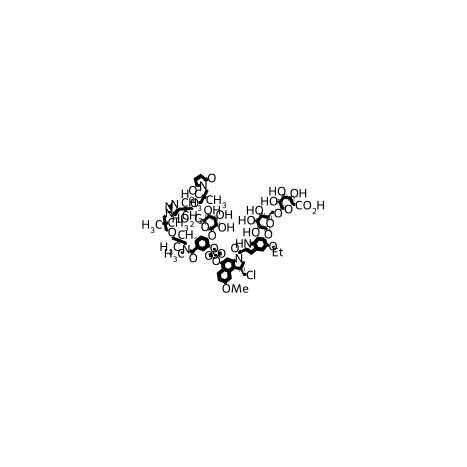 CCOc1cc2cc(C(=O)N3C[C@@H](CCl)c4c3cc(OS(=O)(=O)Oc3cc(C(=O)N(C)CC(C)(C)COCC(C)(C)Cn5cc(C(C)(C)COCC(C)(C)CN6C(=O)C=CC6=O)nn5)ccc3O[C@@H]3O[C@H](C(=O)O)[C@@H](O)[C@H](O)[C@H]3O)c3ccc(OC)cc43)[nH]c2cc1O[C@@H]1O[C@H](CO[C@@H]2OC(C(=O)O)[C@@H](O)[C@H](O)[C@H]2O)[C@H](O)[C@H](O)[C@H]1O